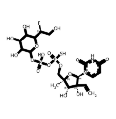 C=C[C@]1(O)[C@H](n2ccc(=O)[nH]c2=O)O[C@](C)(COP(=O)(S)OP(=O)(O)OC2OC([C@@H](F)CO)C(O)C(O)C2O)[C@H]1O